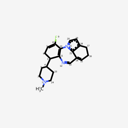 CN1CCC(C2CC=C(F)C3=C2N=CC2=CCCc4ccn3c42)CC1